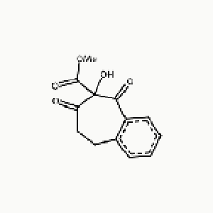 COC(=O)C1(O)C(=O)CCc2ccccc2C1=O